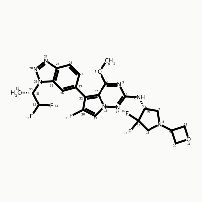 COc1nc(N[C@@H]2CN(C3COC3)CC2(F)F)nn2cc(F)c(-c3ccc4nnn([C@@H](C)C(F)F)c4c3)c12